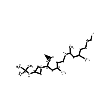 CC(CCOCI)CC(C)OCCC(C)CC(N1CC(OC(C)(C)C)C1)[N+]1=C=C1